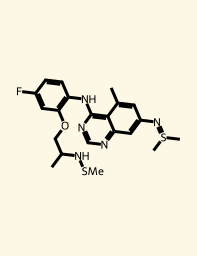 CSNC(C)COc1cc(F)ccc1Nc1ncnc2cc(N=S(C)C)cc(C)c12